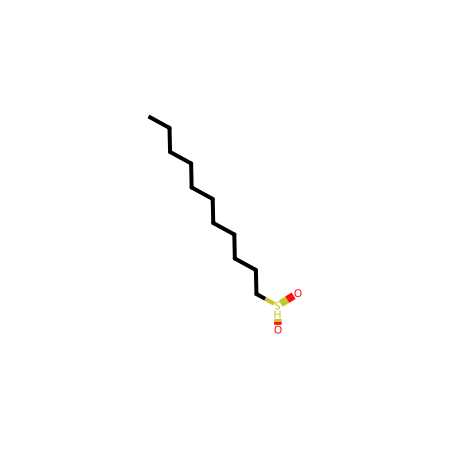 CCCCCCCCCCC[SH](=O)=O